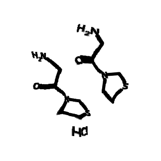 Cl.NCC(=O)N1CCSC1.NCC(=O)N1CCSC1